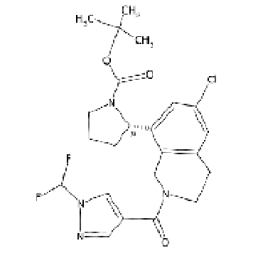 CC(C)(C)OC(=O)N1CCC[C@H]1c1cc(Cl)cc2c1CN(C(=O)c1cnn(C(F)F)c1)CC2